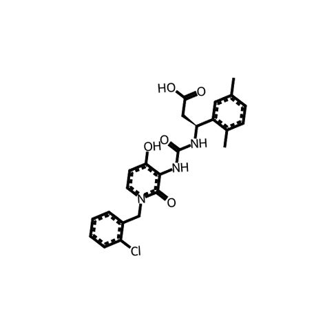 Cc1ccc(C)c([C@H](CC(=O)O)NC(=O)Nc2c(O)ccn(Cc3ccccc3Cl)c2=O)c1